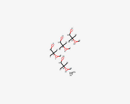 COC(C)(C)C[O-].COC(C)(C)C[O-].COC(C)(C)C[O-].COC(C)(C)C[O-].[Hf+4]